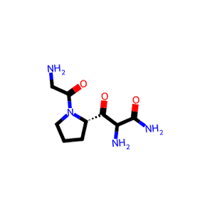 NCC(=O)N1CCC[C@H]1C(=O)C(N)C(N)=O